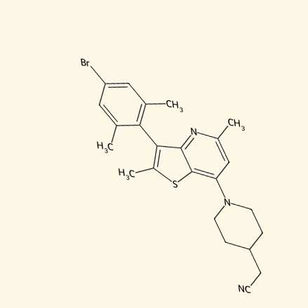 Cc1cc(N2CCC(CC#N)CC2)c2sc(C)c(-c3c(C)cc(Br)cc3C)c2n1